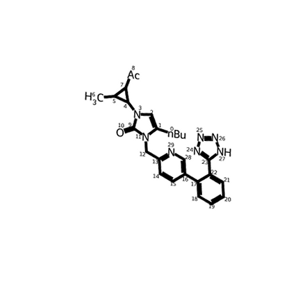 CCCCc1cn(C2C(C)C2C(C)=O)c(=O)n1Cc1ccc(-c2ccccc2-c2nnn[nH]2)cn1